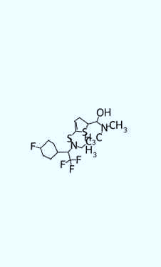 CCN(SC1=CCC(C(O)N(C)C)S1)C(C1CCC(F)CC1)C(F)(F)F